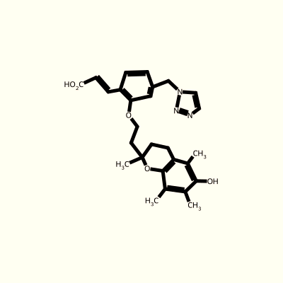 Cc1c(C)c2c(c(C)c1O)CCC(C)(CCOc1cc(Cn3ccnn3)ccc1/C=C/C(=O)O)O2